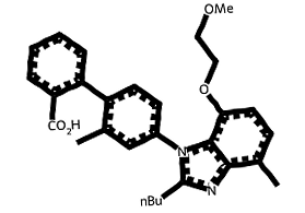 CCCCc1nc2c(C)ccc(OCCOC)c2n1-c1ccc(-c2ccccc2C(=O)O)c(C)c1